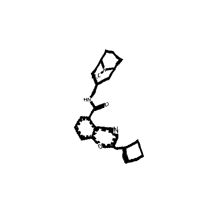 CN1C2CCCC1CC(NC(=O)c1cccc3oc(C4CCC4)nc13)C2